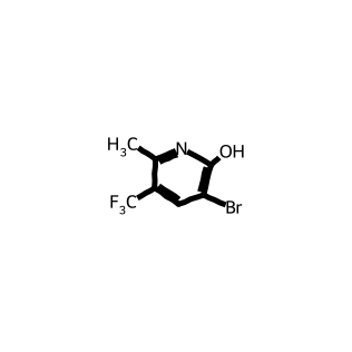 Cc1nc(O)c(Br)cc1C(F)(F)F